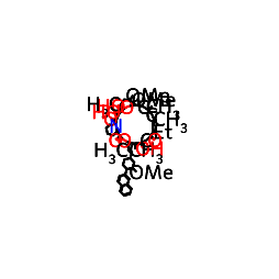 CCC1/C=C(\C)CC(C)CC(OC)C2OC(O)(C(C)CC2OC)C(O)C(=O)N2CCCCC2C(=O)OC(C(C)=CC2CCC(c3ccc4ccccc4c3)C(OC)C2)C(C)C(O)CC1=O